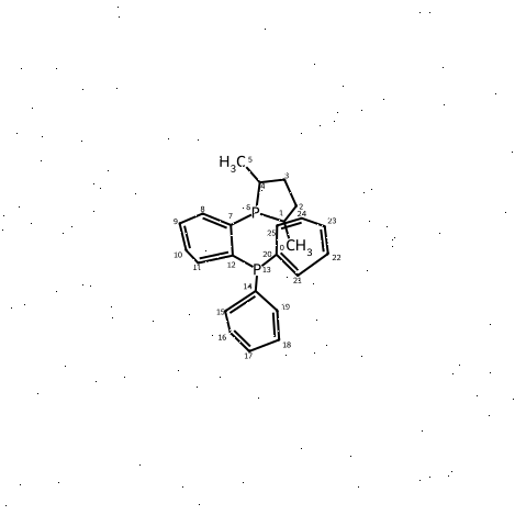 CC1CCC(C)P1c1ccccc1P(c1ccccc1)c1ccccc1